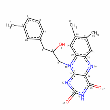 Cc1cccc(CC(O)Cn2c3nc(=O)[nH]c(=O)c-3nc3cc(C)c(C)cc32)c1